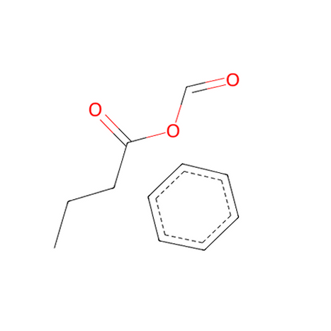 CCCC(=O)OC=O.c1ccccc1